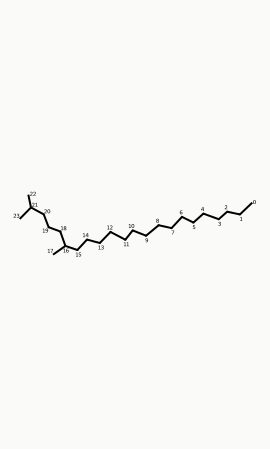 CCCCCCCCCCCCCCCCC(C)CCCC(C)C